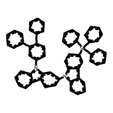 c1ccc(-c2ccc(-n3c4ccccc4c4ccc(-n5c6ccccc6c6cc([Si](c7ccccc7)(c7ccccc7)c7ccccc7)ccc65)cc43)cc2-c2ccccc2)cc1